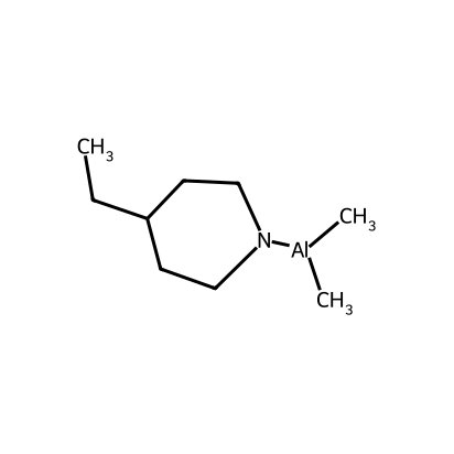 CCC1CC[N]([Al]([CH3])[CH3])CC1